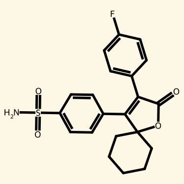 NS(=O)(=O)c1ccc(C2=C(c3ccc(F)cc3)C(=O)OC23CCCCC3)cc1